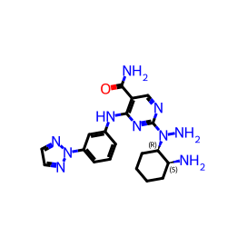 NC(=O)c1cnc(N(N)[C@@H]2CCCC[C@@H]2N)nc1Nc1cccc(-n2nccn2)c1